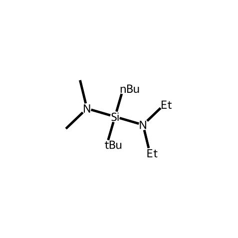 CCCC[Si](N(C)C)(N(CC)CC)C(C)(C)C